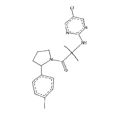 Cc1ccc(C2CCCN2C(=O)C(C)(C)Nc2ncc(Cl)cn2)cc1